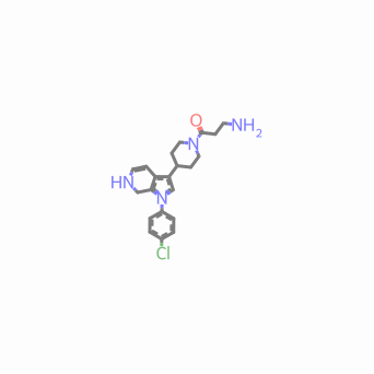 NCCC(=O)N1CCC(c2cn(-c3ccc(Cl)cc3)c3c2C=CNC3)CC1